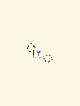 CC[C@]1(NCc2ccccc2)C=CC=CC1